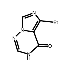 CCc1ncn2nc[nH]c(=O)c12